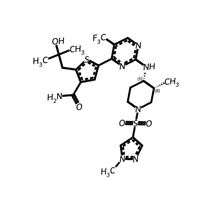 C[C@@H]1CN(S(=O)(=O)c2cnn(C)c2)CC[C@@H]1Nc1ncc(C(F)(F)F)c(-c2cc(C(N)=O)c(CC(C)(C)O)s2)n1